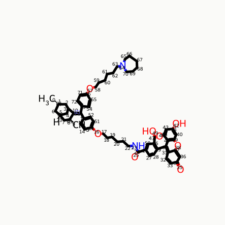 C[C@@H]1CC2C[C@@H](C1)C[C@H](C)/C2=C(\c1ccc(OCCCCCCNC(=O)c2ccc(-c3c4ccc(=O)cc-4oc4cc(O)ccc34)c(C(=O)O)c2)cc1)c1ccc(OCCCCCCN2CCCCCC2)cc1